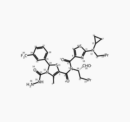 CC1=C(C(=O)N(C(=O)c2csc(N(CC(C)C)C3CC3)n2)[C@H]([C]=O)CC(C)C)SC(c2cccc(C(F)(F)F)c2)N1C(=O)NN